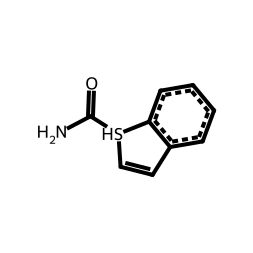 NC(=O)[SH]1C=Cc2ccccc21